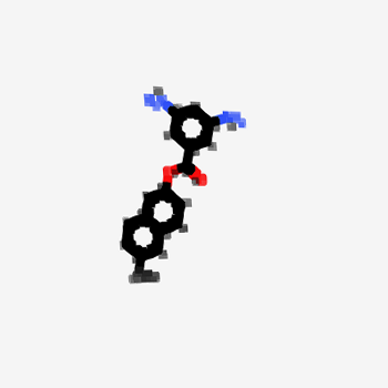 COc1ccc2cc(OC(=O)c3cc(N)cc(N)c3)ccc2c1